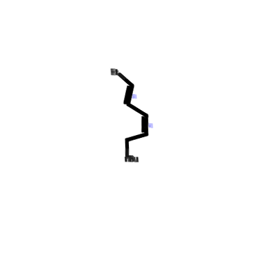 CC/C=C/C=C\CCCCC